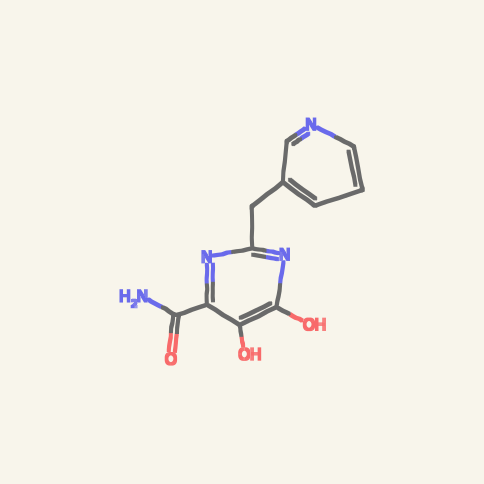 NC(=O)c1nc(Cc2cccnc2)nc(O)c1O